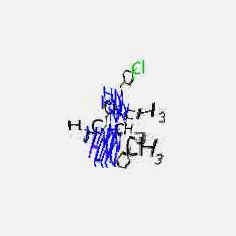 Cc1cccc(NC2=NC(C)N=C(NC(C)CCC(C)NC3=NC(C)N=C(NCCc4ccc(Cl)cc4)N3)N2)c1